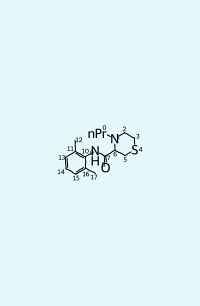 CCCN1CCSCC1C(=O)Nc1c(C)cccc1C